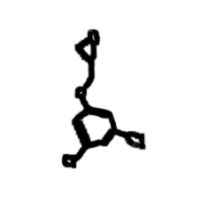 Clc1cc(Cl)cc(OCC2CO2)c1